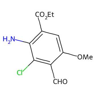 CCOC(=O)c1cc(OC)c(C=O)c(Cl)c1N